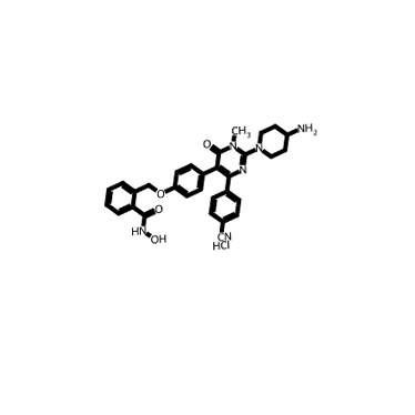 Cl.Cn1c(N2CCC(N)CC2)nc(-c2ccc(C#N)cc2)c(-c2ccc(OCc3ccccc3C(=O)NO)cc2)c1=O